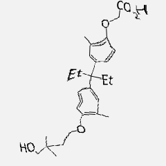 CCC(CC)(c1ccc(OCCC(C)(C)CO)c(C)c1)c1ccc(OCC(=O)O)c(C)c1